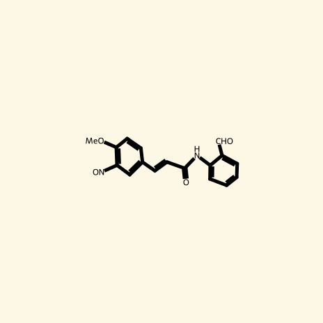 COc1ccc(/C=C/C(=O)Nc2ccccc2C=O)cc1N=O